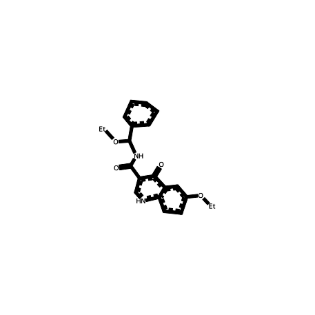 CCOc1ccc2[nH]cc(C(=O)NC(OCC)c3ccccc3)c(=O)c2c1